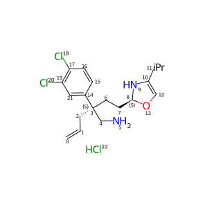 C=CC[C@@](CN)(CC[C@H]1NC(C(C)C)=CO1)c1ccc(Cl)c(Cl)c1.Cl